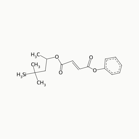 CC(CC(C)(C)[SiH3])OC(=O)C=CC(=O)Oc1ccccc1